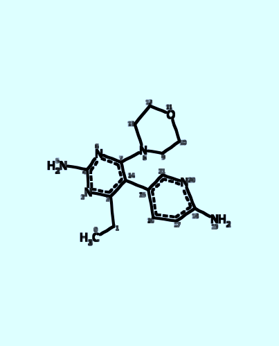 CCc1nc(N)nc(N2CCOCC2)c1-c1ccc(N)nc1